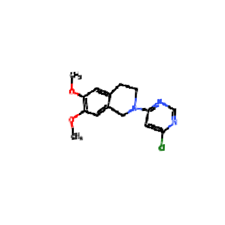 COc1cc2c(cc1OC)CN(c1cc(Cl)ncn1)CC2